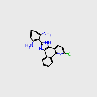 Nc1cccc(N)c1-c1nc2c3ccccc3c3nc(Cl)ccc3c2[nH]1